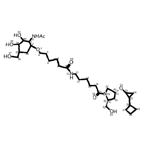 CC(=O)NC1C(OCCCCCC(=O)NCCCCCC(=O)N2C[C@H](OC3CC3C3CCC3)C[C@H]2CO)CC(CO)C(O)C1O